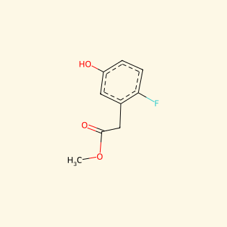 COC(=O)Cc1cc(O)ccc1F